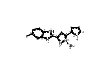 Cc1ccc2[nH]c(-c3cc(-c4ccc[nH]4)n(C(C)(C)C)n3)nc2c1